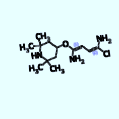 CC1(C)CC(O/C(N)=C/C=C(\N)Cl)CC(C)(C)N1